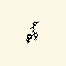 O=C(NN=C1SCC(=O)N1c1cccc(C(F)(F)F)c1)c1ccc(Cl)s1